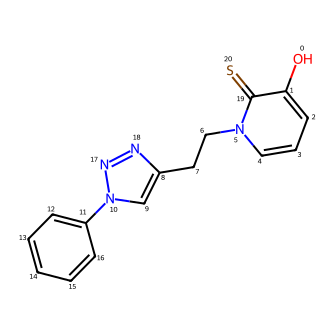 Oc1cccn(CCc2cn(-c3ccccc3)nn2)c1=S